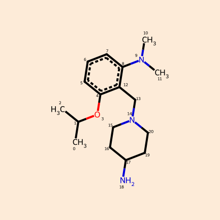 CC(C)Oc1cccc(N(C)C)c1CN1CCC(N)CC1